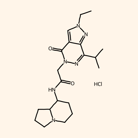 CCn1cc2c(=O)n(CC(=O)NC3CCCN4CCCC34)nc(C(C)C)c2n1.Cl